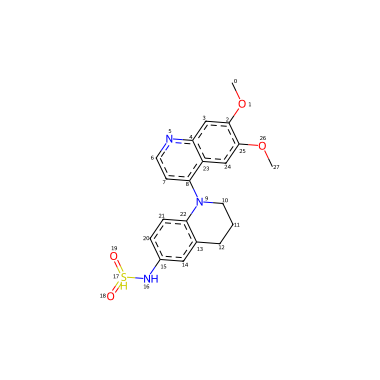 COc1cc2nccc(N3CCCc4cc(N[SH](=O)=O)ccc43)c2cc1OC